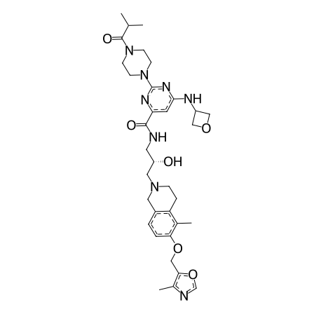 Cc1ncoc1COc1ccc2c(c1C)CCN(C[C@@H](O)CNC(=O)c1cc(NC3COC3)nc(N3CCN(C(=O)C(C)C)CC3)n1)C2